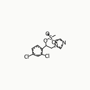 CS(=O)(=O)OC(Cn1ccnc1)c1ccc(Cl)cc1Cl